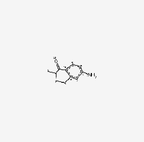 CC1CCc2cc(N)ccc2C1=O